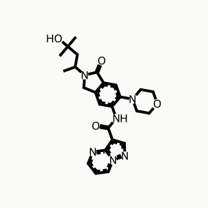 CC(CC(C)(C)O)N1Cc2cc(NC(=O)c3cnn4cccnc34)c(N3CCOCC3)cc2C1=O